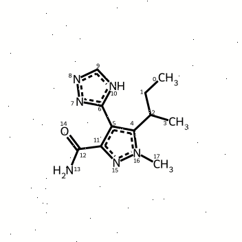 CCC(C)c1c(-c2nnc[nH]2)c(C(N)=O)nn1C